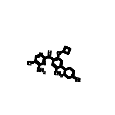 CCN1CCC(c2cc(OC3CCC3)c(Nc3ncc(Cl)c(N)n3)cc2C)CC1